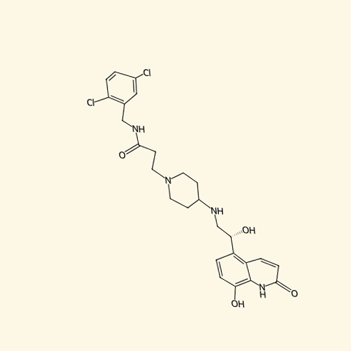 O=C(CCN1CCC(NC[C@H](O)c2ccc(O)c3[nH]c(=O)ccc23)CC1)NCc1cc(Cl)ccc1Cl